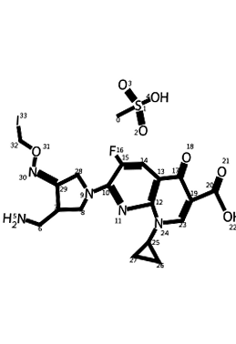 CS(=O)(=O)O.NCC1CN(c2nc3c(cc2F)c(=O)c(C(=O)O)cn3C2CC2)CC1=NOCI